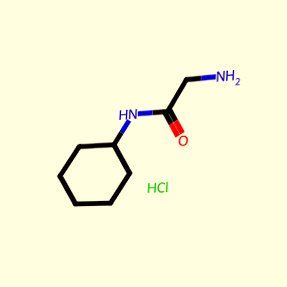 Cl.NCC(=O)NC1CCCCC1